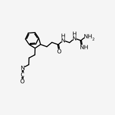 N=C(N)NCNC(=O)CCC1c2cccc(c2)C1CCCN=C=O